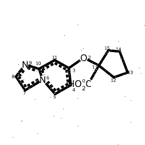 O=C(O)C1(Oc2ccn3ccnc3c2)CCCC1